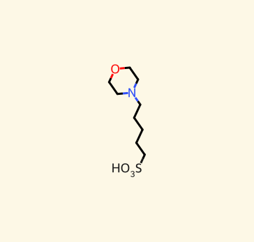 O=S(=O)(O)CCCCCN1CCOCC1